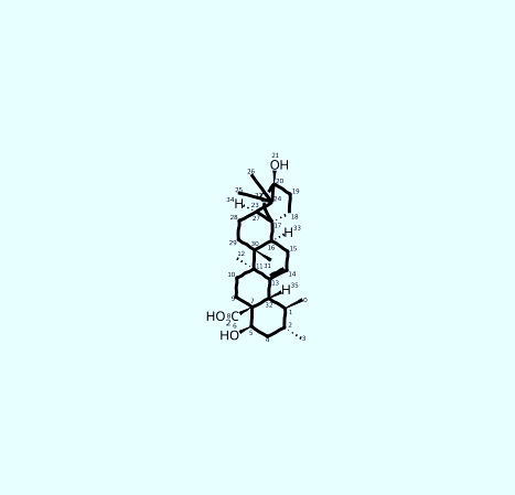 C[C@H]1[C@H](C)C[C@@H](O)[C@]2(C(=O)O)CC[C@]3(C)C(=CC[C@@H]4[C@]56CC[C@@](O)(OC5)C(C)(C)[C@@H]6CC[C@]43C)[C@H]12